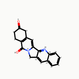 O=C1CCc2c(cc3n(c2=O)Cc2cc4ccccc4nc2-3)C1